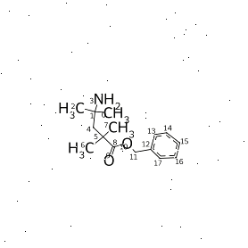 CC(C)(N)CC(C)(C)C(=O)OCc1ccccc1